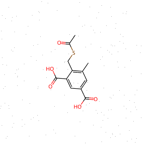 CC(=O)SCc1c(C)cc(C(=O)O)cc1C(=O)O